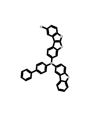 Clc1ccc2oc3oc4cc(N(c5ccc(-c6ccccc6)cc5)c5ccc6sc7ccccc7c6c5)ccc4c3c2c1